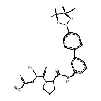 COC(=O)NC(C(=O)N1CCCC1C(=O)Nc1cccc(-c2ccc(B3OC(C)(C)C(C)(C)O3)cc2)c1)C(C)C